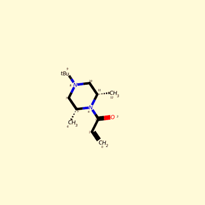 C=CC(=O)N1[C@H](C)CN(C(C)(C)C)C[C@@H]1C